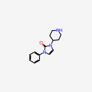 O=c1n(-c2ccccc2)ccn1C1CCNCC1